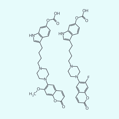 COc1cc2oc(=O)ccc2cc1N1CCN(CCCCc2c[nH]c3cc(OC(=O)O)ccc23)CC1.O=C(O)Oc1ccc2c(CCCCN3CCN(c4cc5ccc(=O)oc5cc4F)CC3)c[nH]c2c1